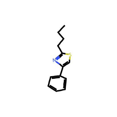 CCCCc1nc(-c2ccccc2)cs1